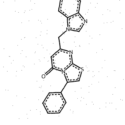 O=c1cc(Cn2cnc3ccccc32)nc2scc(-c3ccccc3)n12